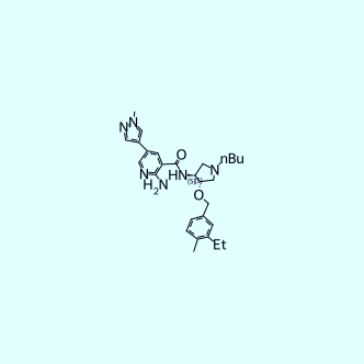 CCCCN1C[C@H](NC(=O)c2cc(-c3cnn(C)c3)cnc2N)[C@@H](OCc2ccc(C)c(CC)c2)C1